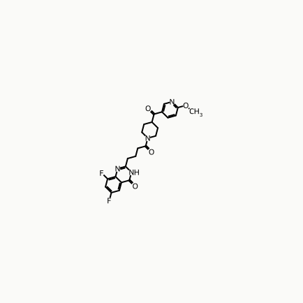 COc1ccc(C(=O)C2CCN(C(=O)CCCc3nc4c(F)cc(F)cc4c(=O)[nH]3)CC2)cn1